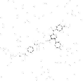 C=CCNc1ccc(C(=O)NCCCNc2c(C#N)c(C(=O)c3ccc(C)cc3)nn2-c2ccc(Cl)cc2)cc1